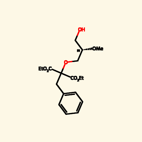 CCOC(=O)C(Cc1ccccc1)(OC[C@H](CO)OC)C(=O)OCC